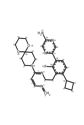 C=N/C=C\C(=N/CCc1c(C2CCC2)ccc(-c2cnc(N)cn2)c1F)N1CCC2(CC1)OCCCO2